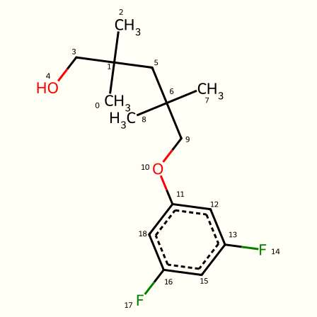 CC(C)(CO)CC(C)(C)COc1cc(F)cc(F)c1